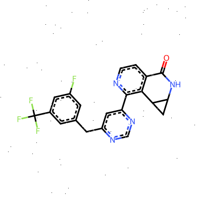 O=C1NC2CC2c2c1ccnc2-c1cc(Cc2cc(F)cc(C(F)(F)F)c2)ncn1